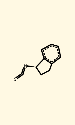 S=C=N[C@@H]1CCc2ccccc21